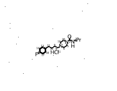 CC(C)NC(=O)N1CCN(CCCCc2ccc(F)cc2)CC1.Cl